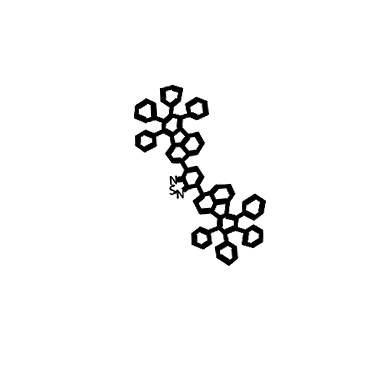 c1ccc(-c2c(-c3ccccc3)c(-c3ccccc3)c3c(c2-c2ccccc2)-c2cccc4c(-c5ccc(-c6ccc7c8c(cccc68)-c6c(-c8ccccc8)c(-c8ccccc8)c(-c8ccccc8)c(-c8ccccc8)c6-7)c6nsnc56)ccc-3c24)cc1